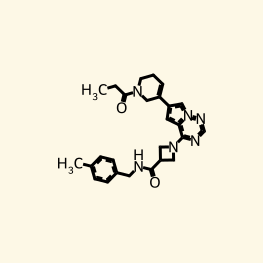 CCC(=O)N1CCC=C(c2cc3c(N4CC(C(=O)NCc5ccc(C)cc5)C4)ncnn3c2)C1